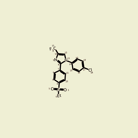 CCS(=O)(=O)c1ccc(-c2nc(C(F)(F)F)cn2-c2ccc(Cl)cc2)cc1